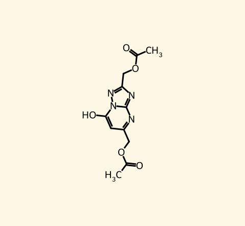 CC(=O)OCc1cc(O)n2nc(COC(C)=O)nc2n1